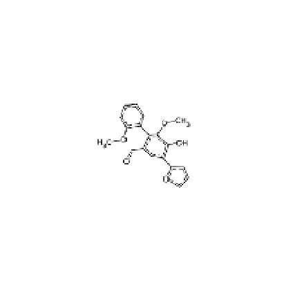 COc1ccccc1-c1c(C=O)cc(-c2ccco2)c(O)c1OC